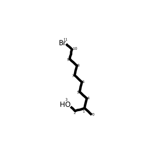 CC(CO)CCCCCCCBr